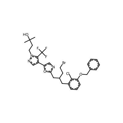 CC(C)(O)CCn1ncc(-c2cnc(CC(CCBr)Cc3cccc(OCc4ccccc4)c3Cl)o2)c1C(F)(F)F